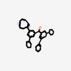 O=C(c1cc(/C2=C/C=C\C=C/CC2)cc(-c2ccccc2)c1)c1cc(-c2ccccc2)cc(-c2ccccc2)c1